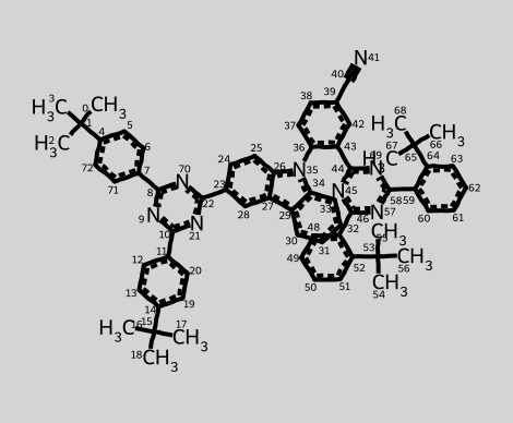 CC(C)(C)c1ccc(-c2nc(-c3ccc(C(C)(C)C)cc3)nc(-c3ccc4c(c3)c3ccccc3n4-c3ccc(C#N)cc3-c3nc(-c4ccccc4C(C)(C)C)nc(-c4ccccc4C(C)(C)C)n3)n2)cc1